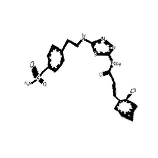 NS(=O)(=O)c1ccc(CCNc2nnc(NC(=O)/C=C/c3ccccc3Cl)s2)cc1